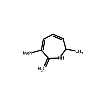 C=C1NC(C)C=CC=C1NC